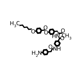 CCCCCCCOc1ccc(C(=O)Oc2ccc(C[C@H](NC(=O)c3ccc(NC(=O)Cc4ccc(N)cc4)cc3)C(C)=O)cc2)cc1